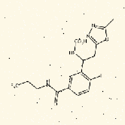 Cc1nnc(CC(NC(=O)O)c2cc(C(=O)NCCC(F)(F)F)ccc2F)o1